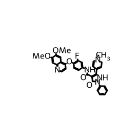 COc1cc2nccc(Oc3ccc(NC(=O)c4c(C5=CCN(C)C=C5)[nH]n(-c5ccccc5)c4=O)cc3F)c2cc1OC